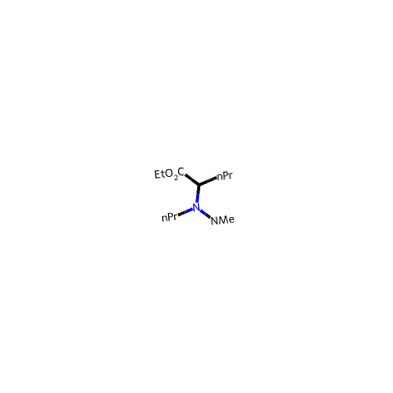 CCCC(C(=O)OCC)N(CCC)NC